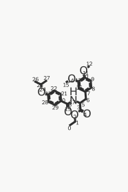 CCOC(=O)C(Cc1ccc(OC)c(OC)c1)NC(=O)c1ccc(OC(C)C)cc1